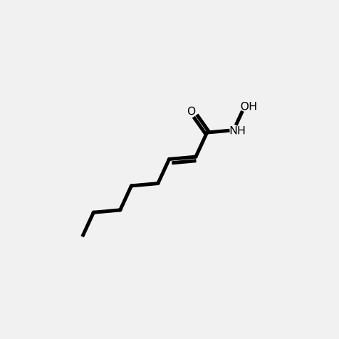 CCCCC/C=C/C(=O)NO